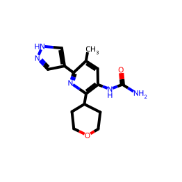 Cc1cc(NC(N)=O)c(C2CCOCC2)nc1-c1cn[nH]c1